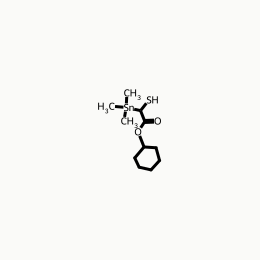 [CH3][Sn]([CH3])([CH3])[CH](S)C(=O)OC1CCCCC1